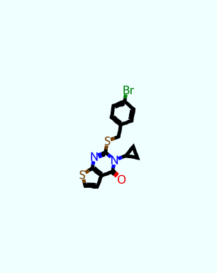 O=c1c2ccsc2nc(SCc2ccc(Br)cc2)n1C1CC1